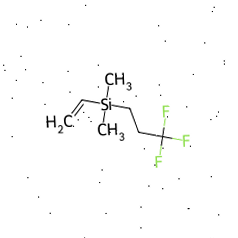 C=C[Si](C)(C)CCC(F)(F)F